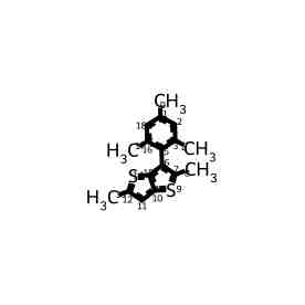 Cc1cc(C)c(-c2c(C)sc3cc(C)sc23)c(C)c1